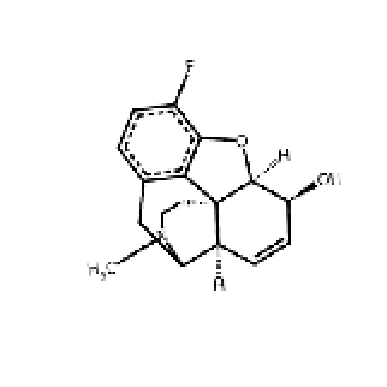 CN1CC[C@]23c4c5ccc(F)c4O[C@H]2[C@@H](O)C=C[C@H]3C1C5